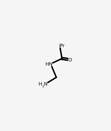 CC(C)C(=O)NCN